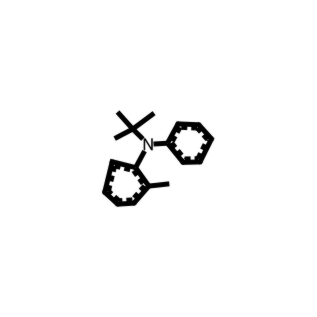 Cc1ccccc1N(c1ccccc1)C(C)(C)C